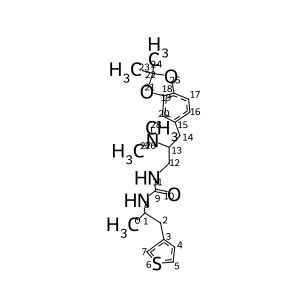 CC(Cc1ccsc1)NC(=O)NCC(Cc1ccc2c(c1)OC(C)(C)O2)N(C)C